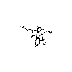 CCC(c1cc(C)cc(C)c1OCCO)c1cc(C)cc(C(C)(C)CC)c1OCCO